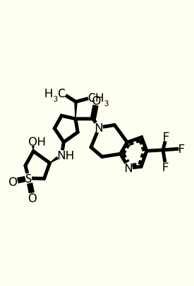 CC(C)[C@]1(C(=O)N2CCc3ncc(C(F)(F)F)cc3C2)CCC(N[C@H]2CS(=O)(=O)C[C@@H]2O)C1